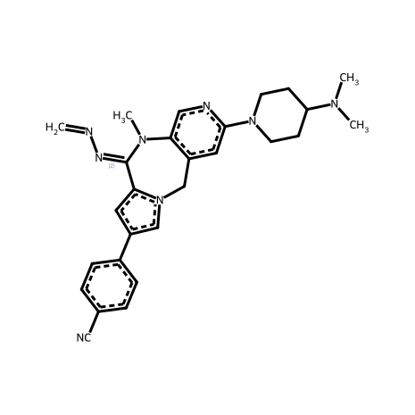 C=N/N=C1/c2cc(-c3ccc(C#N)cc3)cn2Cc2cc(N3CCC(N(C)C)CC3)ncc2N1C